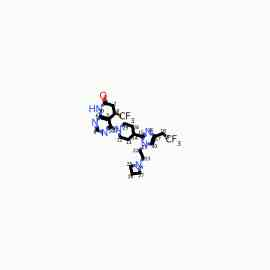 O=C1C[C@@H](C(F)(F)F)c2c(ncnc2N2CCC(c3nc(CC(F)(F)F)cn3CCN3CCC3)CC2)N1